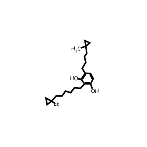 CCC1(CCCCCCc2c(O)ccc(CCCCC3(C)CC3)c2O)CC1